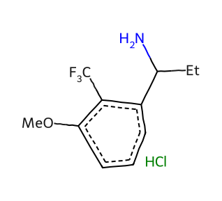 CCC(N)c1cccc(OC)c1C(F)(F)F.Cl